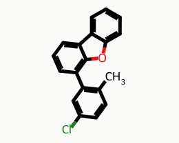 Cc1ccc(Cl)cc1-c1cccc2c1oc1ccccc12